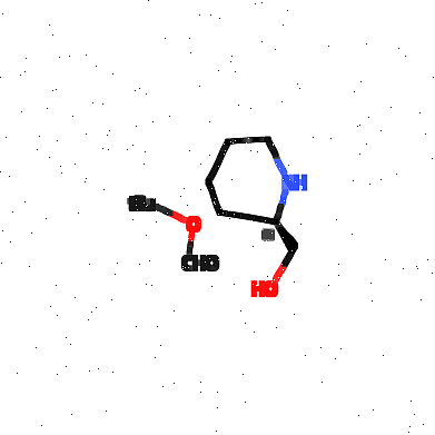 CC(C)(C)OC=O.OC[C@H]1CCCCN1